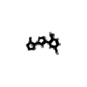 CN1CCS[C@@H]1[C@@H]1CSC(c2cc(F)ccc2O)=N1